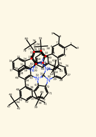 CCc1cc2c(cc1CC)-c1ccc3c4ccccc4n4c3c1[N+]1(c3c-2cccc3-n2c1[n+](-c1c(-c3cc(C(C)(C)C)cc(C(C)(C)C)c3)cccc1-c1cc(C(C)(C)C)cc(C(C)(C)C)c1)c1ccccc12)[n+]1ccc(C(C)(C)C)cc1-4